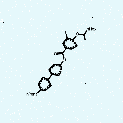 CCCCCCC(C)Oc1ccc(C(=O)Oc2ccc(-c3ccc(CCCCC)cc3)cc2)cc1F